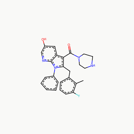 Cc1c(F)cccc1Cc1c(C(=O)N2CCNCC2)c2cc(O)cnc2n1-c1ccccc1